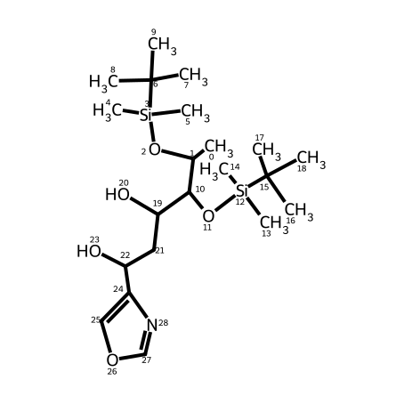 CC(O[Si](C)(C)C(C)(C)C)C(O[Si](C)(C)C(C)(C)C)C(O)CC(O)c1cocn1